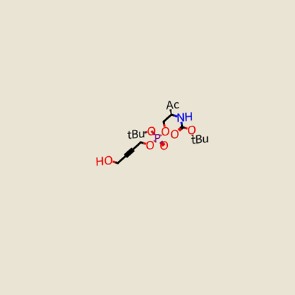 CC(=O)[C@H](COP(=O)(OCC#CCO)OC(C)(C)C)NC(=O)OC(C)(C)C